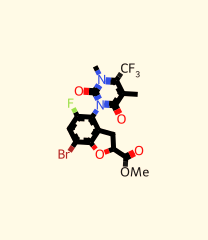 COC(=O)C1Cc2c(c(Br)cc(F)c2-n2c(=O)c(C)c(C(F)(F)F)n(C)c2=O)O1